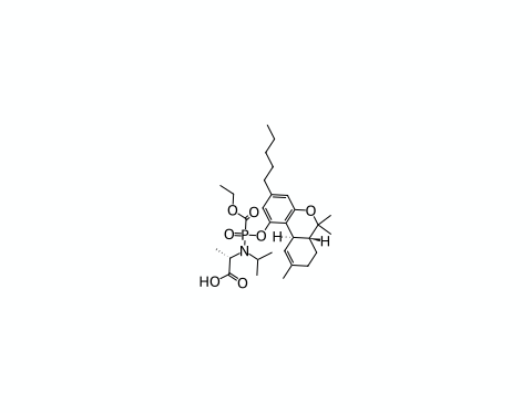 CCCCCc1cc2c(c(OP(=O)(C(=O)OCC)N(C(C)C)[C@@H](C)C(=O)O)c1)[C@@H]1C=C(C)CC[C@H]1C(C)(C)O2